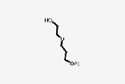 CC(=O)OCCCOCCO